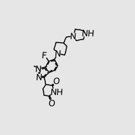 Cn1nc(C2CCC(=O)NC2=O)c2ccc(N3CCC(CN4CCNCC4)CC3)c(F)c21